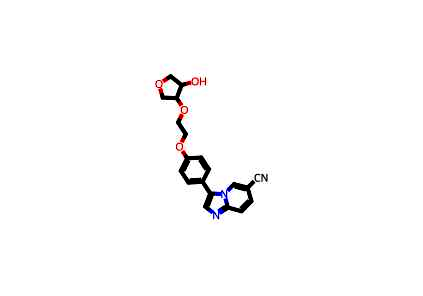 N#Cc1ccc2ncc(-c3ccc(OCCOC4COCC4O)cc3)n2c1